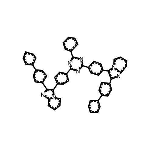 c1ccc(-c2ccc(-c3nc4ccccn4c3-c3ccc(-c4nc(-c5ccccc5)nc(-c5ccc(-c6c(-c7ccc(-c8ccccc8)cc7)nc7ccccn67)cc5)n4)cc3)cc2)cc1